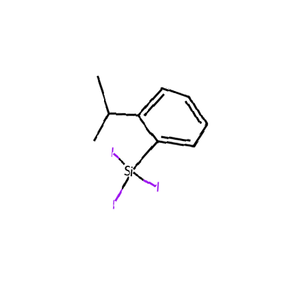 CC(C)c1ccccc1[Si](I)(I)I